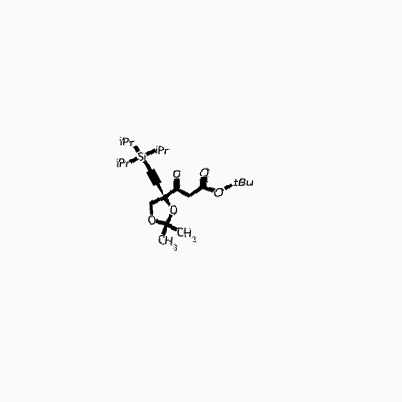 CC(C)[Si](C#C[C@]1(C(=O)CC(=O)OC(C)(C)C)COC(C)(C)O1)(C(C)C)C(C)C